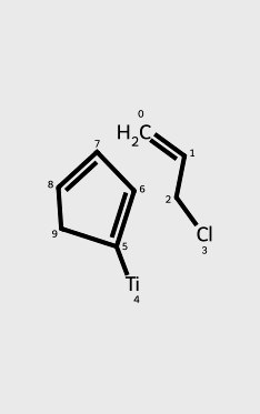 C=CCCl.[Ti][C]1=CC=CC1